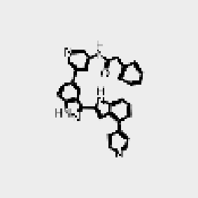 O=C(Cc1ccccc1)Nc1cncc(-c2ccc3[nH]nc(-c4cc5c(-c6ccncc6)cccc5[nH]4)c3c2)c1